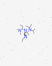 CCN(C(C)C)C(C)C.CCN=C=NC(CC)N(C)C